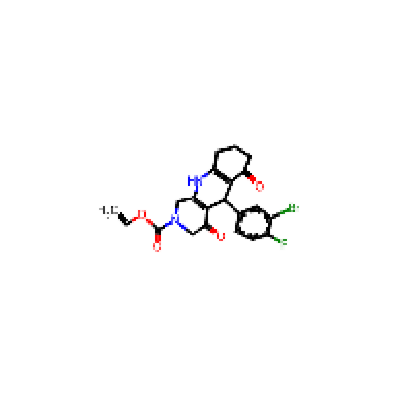 C=COC(=O)N1CC(=O)C2=C(C1)NC1=C(C(=O)CCC1)C2c1ccc(F)c(Br)c1